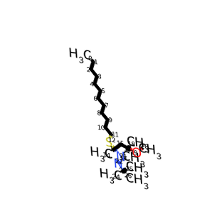 CCCCCCCCCCCCSC(C)(CC(C)(C)OC)N=NC(C)(C)C